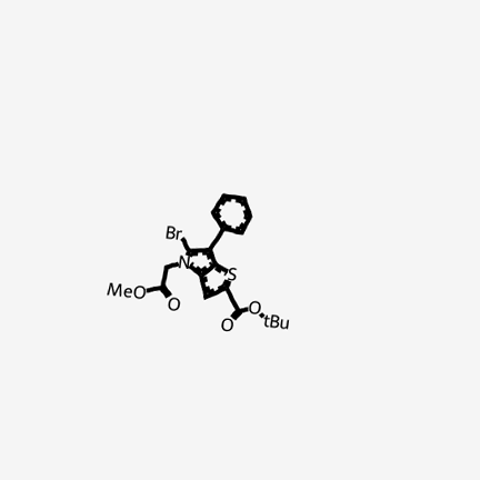 COC(=O)Cn1c(Br)c(-c2ccccc2)c2sc(C(=O)OC(C)(C)C)cc21